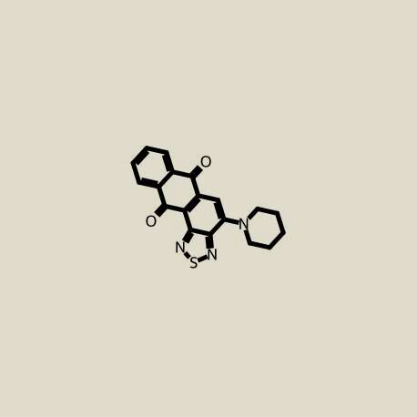 O=C1c2ccccc2C(=O)c2c1cc(N1CCCCC1)c1nsnc21